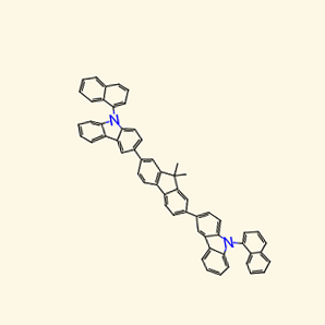 CC1(C)c2cc(-c3ccc4c(c3)c3ccccc3n4-c3cccc4ccccc34)ccc2-c2ccc(-c3ccc4c(c3)c3ccccc3n4-c3cccc4ccccc34)cc21